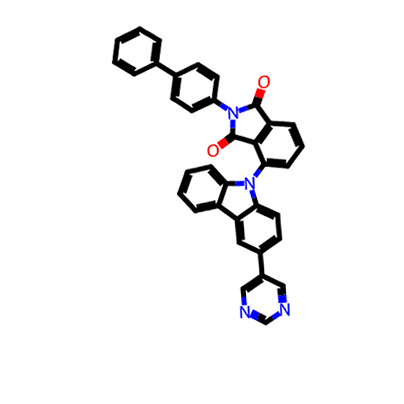 O=C1c2cccc(-n3c4ccccc4c4cc(-c5cncnc5)ccc43)c2C(=O)N1c1ccc(-c2ccccc2)cc1